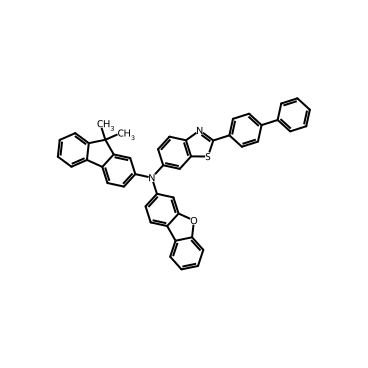 CC1(C)c2ccccc2-c2ccc(N(c3ccc4c(c3)oc3ccccc34)c3ccc4nc(-c5ccc(-c6ccccc6)cc5)sc4c3)cc21